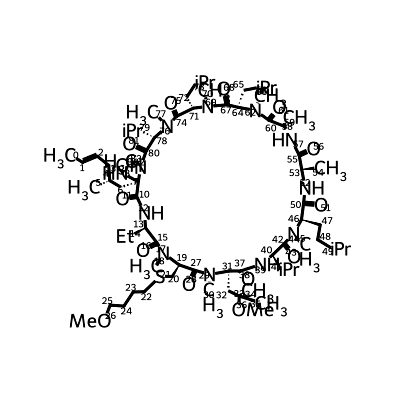 C/C=C/C[C@@H](C)C[C@@]1(NO)C(=O)N[C@H](CC)C(=O)N(C)[C@H](CSCCCCOC)C(=O)N(C)[C@@H](CC(C)(C)OC)C(=O)N[C@H](C(C)C)C(=O)N(C)[C@H](CCC(C)C)C(=O)N[C@H](C)C(=O)N[C@@H](C)C(=O)N(C)[C@@H](CC(C)C)C(=O)N(C)[C@@H](CC(C)C)C(=O)N(C)[C@@H](C(C)C)C(=O)N1C